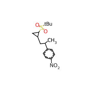 CC(CC1CC1S(=O)(=O)C(C)(C)C)c1ccc([N+](=O)[O-])cc1